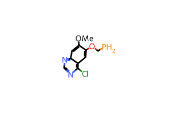 COc1cc2ncnc(Cl)c2cc1OCP